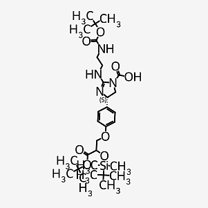 CC(C)(C)OC(=O)NCCNC1=N[C@@H](c2ccc(OCC(O[Si](C)(C)C(C)(C)C)C(=O)OC(C)(C)C)cc2)CN1C(=O)O